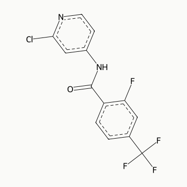 O=C(Nc1ccnc(Cl)c1)c1ccc(C(F)(F)F)cc1F